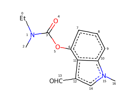 CCN(C)C(=O)Oc1cccc2c1c(C=O)cn2C